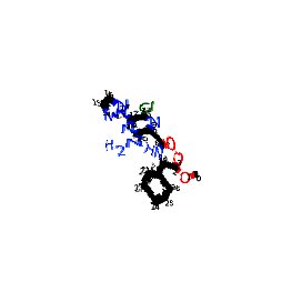 COC(=O)[C@@H](NC(=O)c1nc(Cl)c(-n2nccn2)nc1N)c1ccccc1